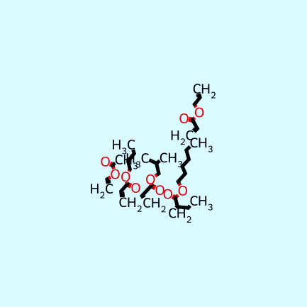 C=C(CC)C(=O)OCCCCCC.C=CC(=O)OCC(C)C.C=CC(=O)OCCCC.C=CCOC(=O)C=C.C=COC(C)=O